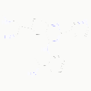 CN/C=C(\C=N)c1ccc2nc(-c3cccnc3)nc(Nc3ccccc3C(C)N)c2c1